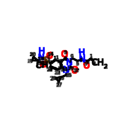 C=CC(=O)NCCn1c(=O)c2cc(S(=O)(=O)NC3(C)CC3)ccc2n(CC2CC2)c1=O